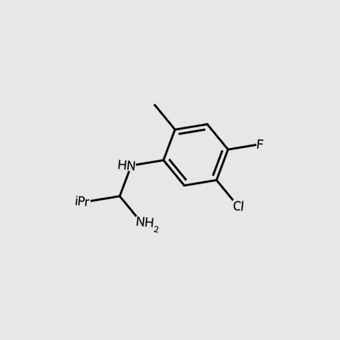 Cc1cc(F)c(Cl)cc1NC(N)C(C)C